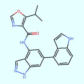 CC(C)c1ocnc1C(=O)Nc1cc(-c2cccc3[nH]ccc23)cc2[nH]ncc12